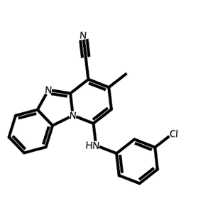 Cc1cc(Nc2cccc(Cl)c2)n2c(nc3ccccc32)c1C#N